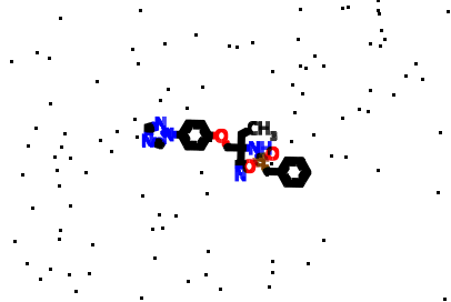 CCC(C#N)(COc1ccc(-n2cncn2)cc1)NS(=O)(=O)Cc1ccccc1